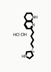 Cl.Cl.c1cc2c(nc1CCCCC[C@@H]1CCNC1)NCCC2